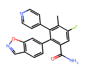 Cc1c(F)cc(C(N)=O)c(-c2ccc3cnoc3c2)c1-c1ccncc1